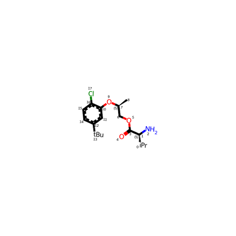 CC(C)[C@H](N)C(=O)OC[C@H](C)Oc1cc(C(C)(C)C)ccc1Cl